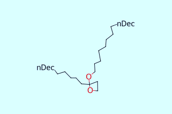 CCCCCCCCCCCCCCCCCCOC1(CCCCCCCCCCCCCCC)CCO1